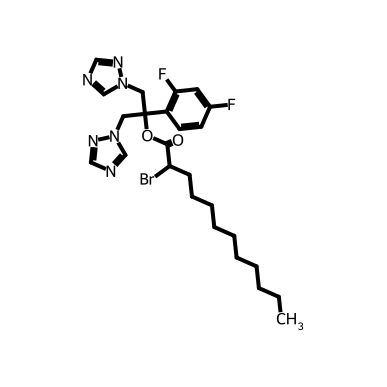 CCCCCCCCCCC(Br)C(=O)OC(Cn1cncn1)(Cn1cncn1)c1ccc(F)cc1F